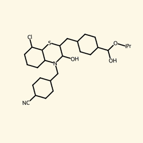 CC(C)OC(O)C1CCC(CC2SC3C(Cl)CCCC3N(CC3CCC(C#N)CC3)C2O)CC1